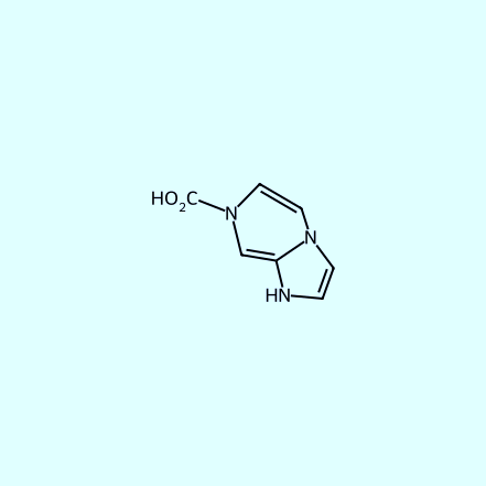 O=C(O)N1C=CN2C=CNC2=C1